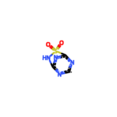 O=S1(=O)Nc2n[c]nc1n2